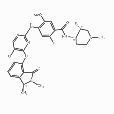 COc1cc(C(=O)N[C@H]2CCN(C)C[C@H]2F)c(F)cc1Nc1ncc(Cl)c(Oc2cccc3c2C(=O)N(C)[C@H]3C)n1